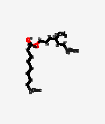 CCCCCCCCCCCCCCCCCC(=O)OCCCC(C)CCCCCCCCCCCC